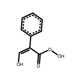 O=C(OO)C(=CO)c1ccccc1